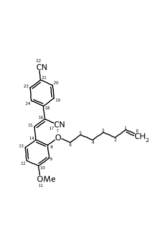 C=CCCCCCOc1cc(OC)ccc1/C=C(\C#N)c1ccc(C#N)cc1